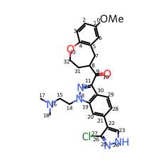 COc1ccc2c(c1)CC(C(=O)c1nn(CCN(C)C)c3cc(-c4c[nH]nc4Cl)ccc13)CCO2